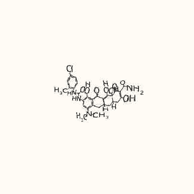 Cc1cc(Cl)ccc1NC(=O)Nc1cc(N(C)C)c2c(c1O)C(=O)C1=C(O)[C@]3(O)C(=O)C(C(N)=O)=C(O)C[C@@H]3C[C@@H]1C2